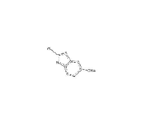 COc1ccc2nc(Cl)sc2c1